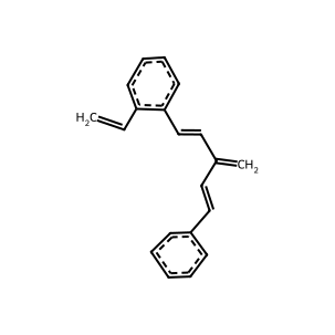 C=Cc1ccccc1C=CC(=C)C=Cc1ccccc1